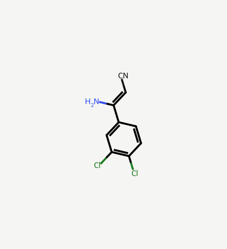 N#CC=C(N)c1ccc(Cl)c(Cl)c1